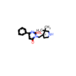 CC1(C)CNCC[C@@]1(O)Cn1cnc(-c2ccccc2)cc1=O